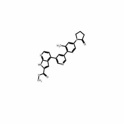 COC(=O)c1cc2c(-c3cncc(-c4ccc(N5CCCC5=O)cc4C)c3)ccnc2[nH]1